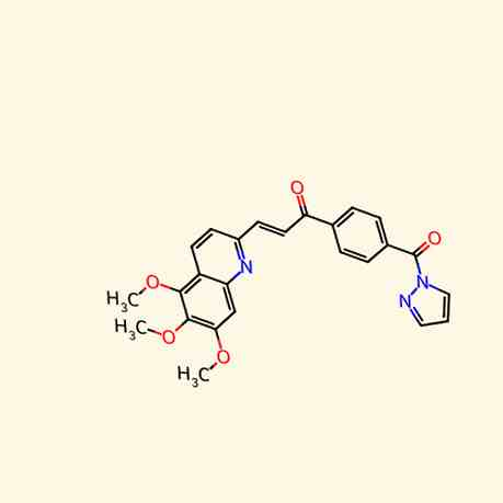 COc1cc2nc(C=CC(=O)c3ccc(C(=O)n4cccn4)cc3)ccc2c(OC)c1OC